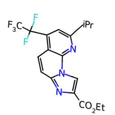 CCOC(=O)c1cn2c(ccc3c(C(F)(F)C(F)(F)F)cc(C(C)C)nc32)n1